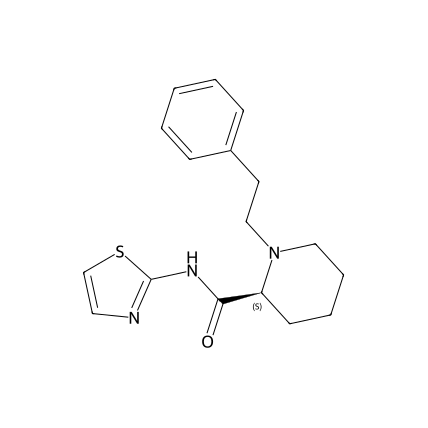 O=C(Nc1nccs1)[C@@H]1CCCCN1CCc1ccccc1